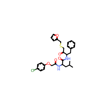 CC(C)CC(NC(=O)COc1ccc(Cl)cc1)C(=O)NC(Cc1ccccc1)C(=O)CSCc1ccco1